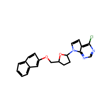 Clc1ncnc2c1ccn2C1CCC(COc2ccc3ccccc3c2)O1